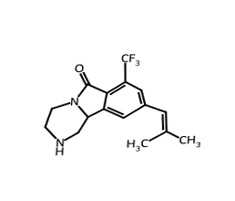 CC(C)=Cc1cc2c(c(C(F)(F)F)c1)C(=O)N1CCNCC21